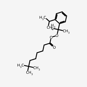 CC(C)c1ccccc1C(C)(C)OOC(=O)CCCCCC(C)(C)C